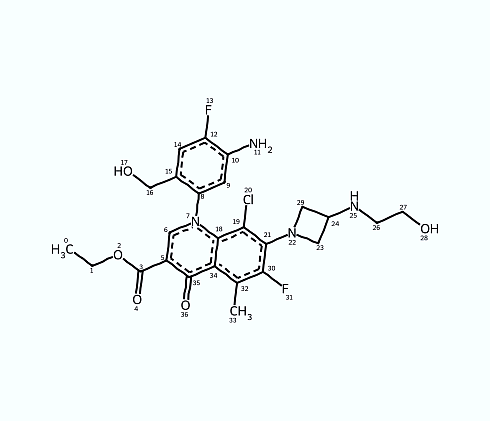 CCOC(=O)c1cn(-c2cc(N)c(F)cc2CO)c2c(Cl)c(N3CC(NCCO)C3)c(F)c(C)c2c1=O